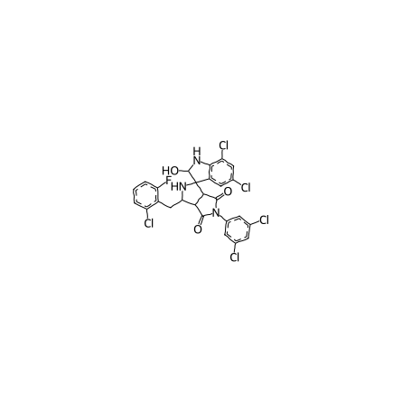 O=C1C2C(Cc3c(F)cccc3Cl)NC3(c4cc(Cl)cc(Cl)c4NC3O)C2C(=O)N1c1cc(Cl)cc(Cl)c1